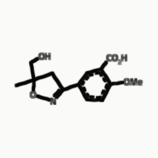 COc1ccc(C2=NOC(C)(CO)C2)cc1C(=O)O